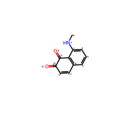 CNc1cccc2c1C(=O)C(=O)C=C2